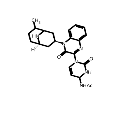 CC(=O)NC1C=CN(c2nc3ccccc3n([C@@H]3CC4N[C@H](CCC4C)C3)c2=O)C(=O)N1